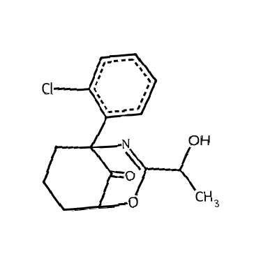 CC(O)C1=NC2(c3ccccc3Cl)CCCC(O1)C2=O